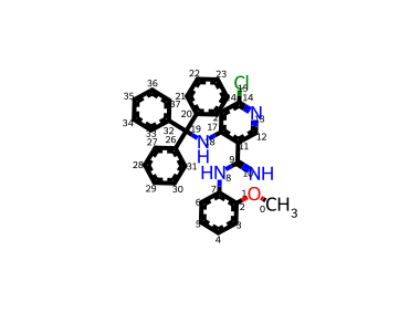 COc1ccccc1NC(=N)c1cnc(Cl)cc1NC(c1ccccc1)(c1ccccc1)c1ccccc1